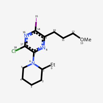 CCC1CCCCN1c1nc(CCCOC)c(I)nc1Cl